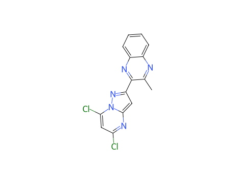 Cc1nc2ccccc2nc1-c1cc2nc(Cl)cc(Cl)n2n1